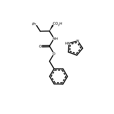 CC(C)C[C@H](NC(=O)OCc1ccccc1)C(=O)O.c1cn[nH]c1